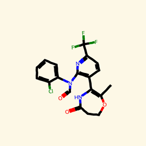 CC1=C(c2ccc(C(F)(F)F)nc2N(C=O)c2ccccc2Cl)NC(=O)CCO1